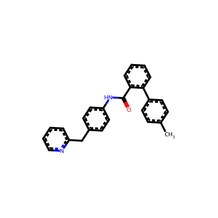 Cc1ccc(-c2ccccc2C(=O)Nc2ccc(Cc3ccccn3)cc2)cc1